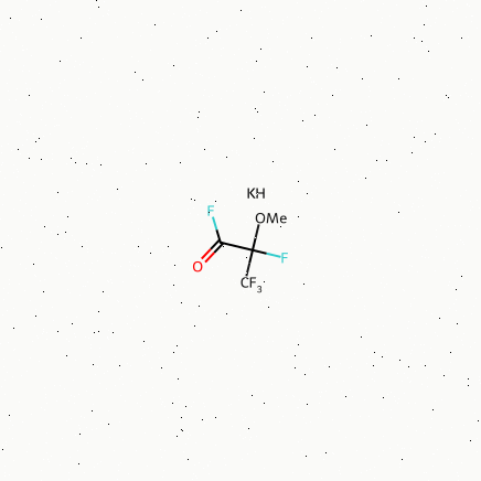 COC(F)(C(=O)F)C(F)(F)F.[KH]